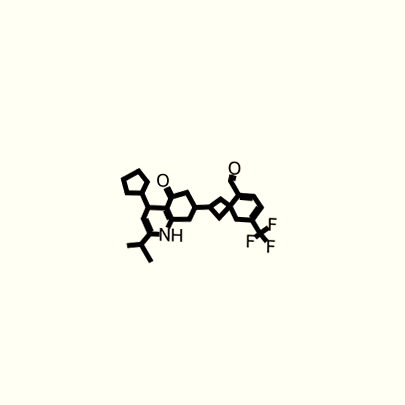 CC(C)C1=CC(C2CCCC2)C2=C(CC(C3CC4(CC(C(F)(F)F)=CC=C4C=O)C3)CC2=O)N1